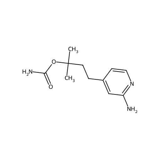 CC(C)(CCc1ccnc(N)c1)OC(N)=O